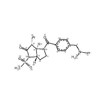 CCCN(C)Cc1ccc(C(=O)N2CC[C@H]3[C@H]2[C@@H](C(C)C)C(=O)N3S(C)(=O)=O)cc1